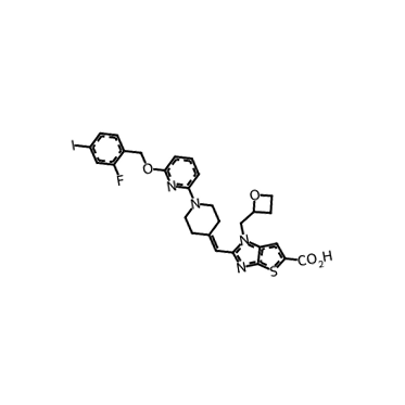 O=C(O)c1cc2c(nc(C=C3CCN(c4cccc(OCc5ccc(I)cc5F)n4)CC3)n2CC2CCO2)s1